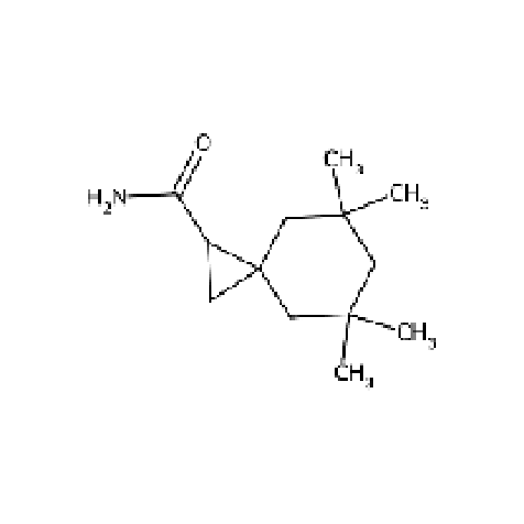 CC1(C)CC(C)(C)CC2(CC2C(N)=O)C1